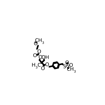 COCCOC(=O)OCC(C)(CO)C(=O)OCc1ccc(CSS(C)(=O)=O)cc1